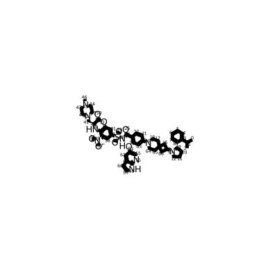 CC(C)c1ccccc1[C@@H]1CCCN1C1CC2(CCN(c3ccc(C(=O)NS(=O)(=O)c4cc5c(c([N+](=O)[O-])c4)N[C@@H](CN4CCN(C)CC4)C(=O)O5)c(Oc4cnc5[nH]ccc5c4)c3)CC2)C1